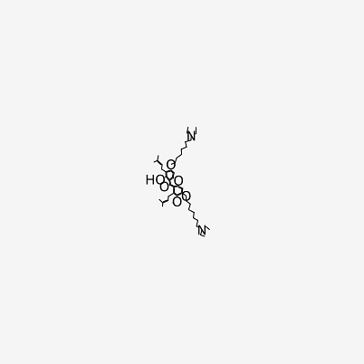 CCN(CC)CCCCCCCOc1cc2oc3cc(OCCCCCCCN(CC)CC)c(OC)c(CC=C(C)C)c3c(=O)c2c(O)c1CC=C(C)C